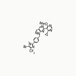 COc1ncnc(C2CC2)c1-c1ncc2cnn(Cc3ccc(-c4nc(C(F)(F)F)c(Br)n4C)cc3)c2n1